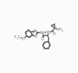 NC1(C(=O)NC(Cc2ccccc2)C(=O)Nc2nc3ccc(OC(F)(F)F)cc3s2)CC1